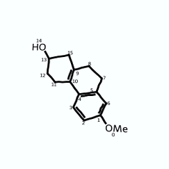 COc1ccc2c(c1)CCC1=C2CCC(O)C1